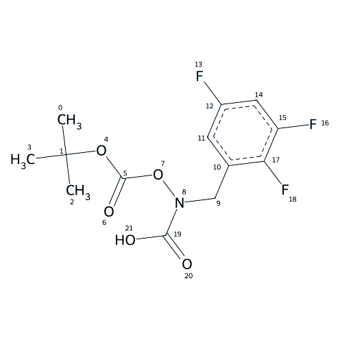 CC(C)(C)OC(=O)ON(Cc1cc(F)cc(F)c1F)C(=O)O